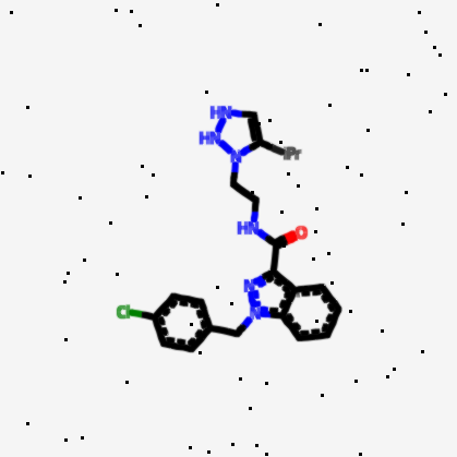 CC(C)C1=CNNN1CCNC(=O)c1nn(Cc2ccc(Cl)cc2)c2ccccc12